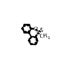 CP1(=S)Oc2ccccc2-c2ccccc21